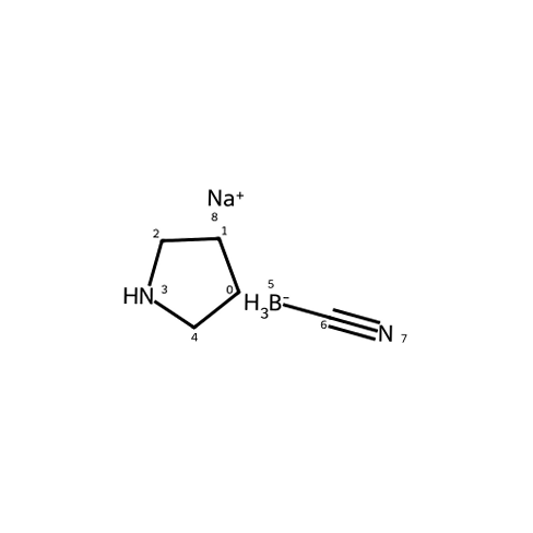 C1CCNC1.[BH3-]C#N.[Na+]